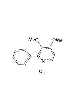 COc1ccnc(-c2ccccn2)c1OC.[Os]